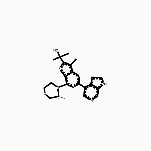 Cc1c(C(C)(C)O)sc2c(N3CCOC[C@H]3C)nc(-c3cncc4[nH]ccc34)nc12